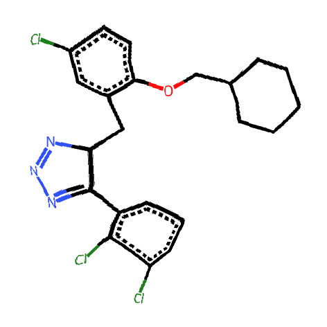 Clc1ccc(OCC2CCCCC2)c(CC2N=NN=C2c2cccc(Cl)c2Cl)c1